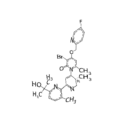 Cc1ccc(C(C)(C)O)nc1C1=NC[C@@H](C)C(n2c(C)cc(OCc3ccc(F)cn3)c(Br)c2=O)=C1